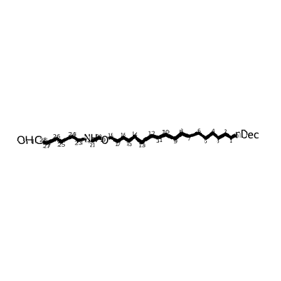 CCCCCCCCCCCCCCCCCCCCCCCCCCCCOCCNCCCCCC=O